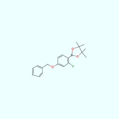 CC1(C)OB(c2ccc(OCc3ccccc3)cc2F)OC1(C)C